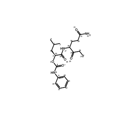 CC(C)C[C@H](OC(=O)Nc1ccccc1)C(=O)NC(CCC(N)=O)C(=O)CF